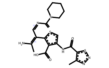 C=C(/N=C\C(=C(\C)N)c1scc(NC(=O)c2snnc2C)c1C(=O)O)N1CCCCC1